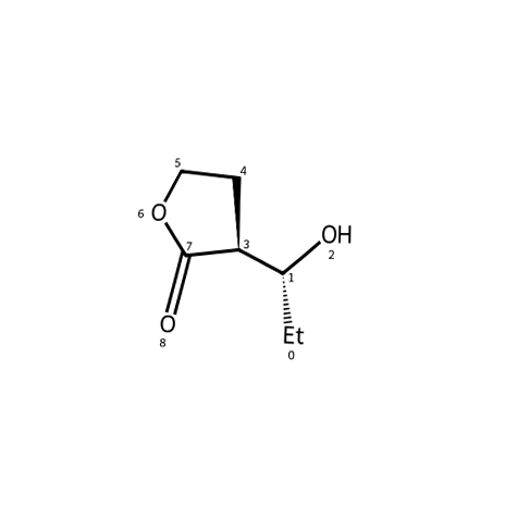 CC[C@@H](O)[C@@H]1CCOC1=O